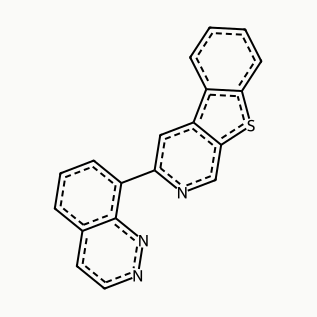 c1cc(-c2cc3c(cn2)sc2ccccc23)c2nnccc2c1